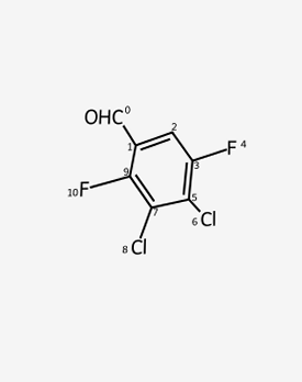 O=Cc1cc(F)c(Cl)c(Cl)c1F